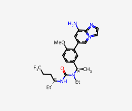 CC[C@H](CCC(F)(F)F)NC(=O)N(CC)[C@H](C)c1ccc(OC)c(-c2cc(N)c3nccn3c2)c1